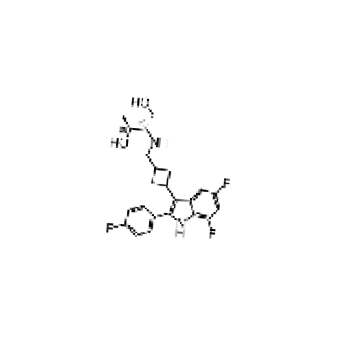 C[C@H](O)[C@H](CO)NCC1CC(c2c(-c3ccc(F)cc3)[nH]c3c(F)cc(F)cc23)C1